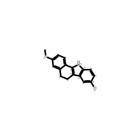 COc1ccc2c(c1)CCc1c-2[nH]c2ccc(Cl)cc12